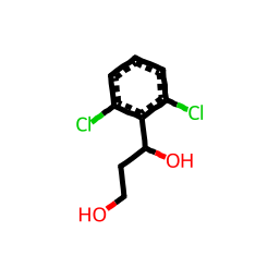 OCCC(O)c1c(Cl)cccc1Cl